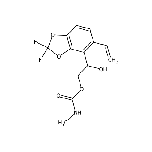 C=Cc1ccc2c(c1C(O)COC(=O)NC)OC(F)(F)O2